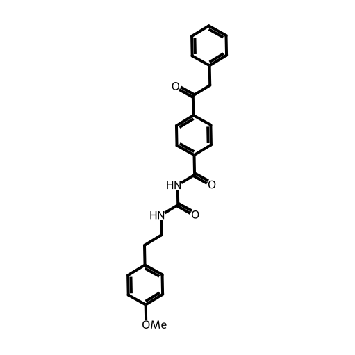 COc1ccc(CCNC(=O)NC(=O)c2ccc(C(=O)Cc3ccccc3)cc2)cc1